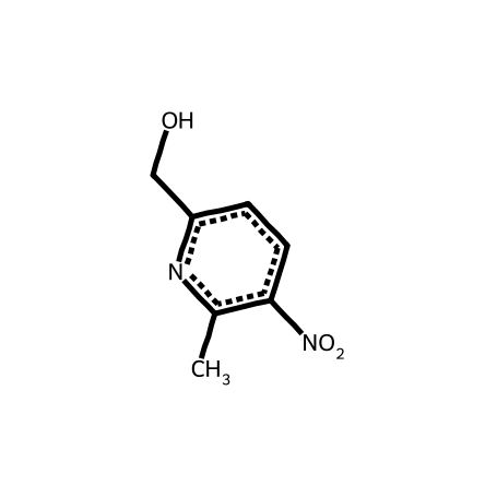 Cc1nc(CO)ccc1[N+](=O)[O-]